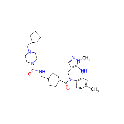 Cc1ccc2c(c1)Nc1c(cnn1C)CN2C(=O)C1CCC(CNC(=O)N2CCN(CC3CCCC3)CC2)CC1